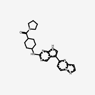 O=C(C1CCC(Nc2ncc3c(-c4ccn5nccc5n4)c[nH]c3n2)CC1)N1CCCC1